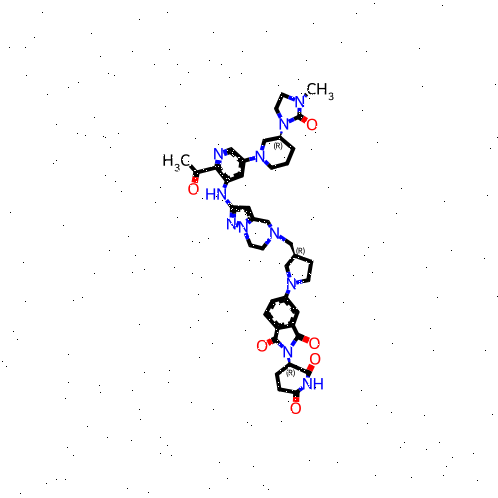 CC(=O)c1ncc(N2CCC[C@@H](N3CCN(C)C3=O)C2)cc1Nc1cc2n(n1)CCN(C[C@H]1CCN(c3ccc4c(c3)C(=O)N([C@@H]3CCC(=O)NC3=O)C4=O)C1)C2